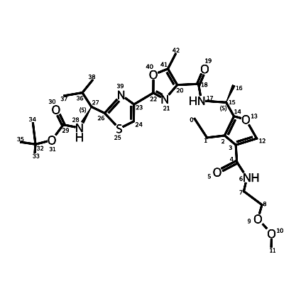 CCc1c(C(=O)NCCOOC)coc1[C@H](C)NC(=O)c1nc(-c2csc([C@@H](NC(=O)OC(C)(C)C)C(C)C)n2)oc1C